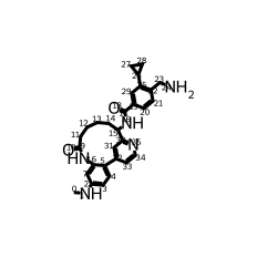 CNc1ccc2c(c1)NC(=O)CCCCC(NC(=O)c1ccc(CN)c(C3CC3)c1)c1cc-2ccn1